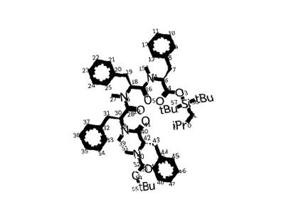 CC(C)C[Si](OC(=O)[C@H](Cc1ccccc1)N(C)C(=O)[C@H](Cc1ccccc1)N(C)C(=O)[C@H](Cc1ccccc1)N(C)C(=O)[C@H](Cc1ccccc1)N(C)C(=O)OC(C)(C)C)(C(C)(C)C)C(C)(C)C